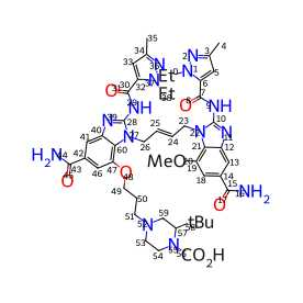 CCn1nc(C)cc1C(=O)Nc1nc2cc(C(N)=O)cc(OC)c2n1CC=CCn1c(NC(=O)c2cc(C)nn2CC)nc2cc(C(N)=O)cc(OCCCN3CCN(C(=O)O)C(C(C)(C)C)C3)c21